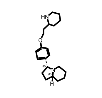 c1cc([C@H]2CC[C@H]3CCCCN32)ccc1OCCC1CCCCN1